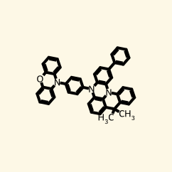 CC1(C)c2ccccc2N2c3cc(-c4ccccc4)ccc3N(c3ccc(N4c5ccccc5Oc5ccccc54)cc3)c3cccc1c32